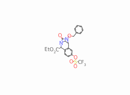 CCOC(=O)C1c2ccc(OS(=O)(=O)C(F)(F)F)cc2C2CN1C(=O)N2OCc1ccccc1